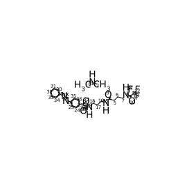 CNC.O=C(CCCNC(=O)C(F)(F)F)NCCCNS(=O)(=O)c1ccc(N=Nc2ccccc2)cc1